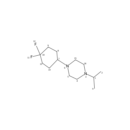 CC(C)N1CCN(C2CCC(F)(F)CC2)CC1